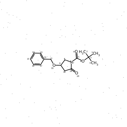 CC(C)(C)OC(=O)N1CC(OCc2ccccc2)CC1=O